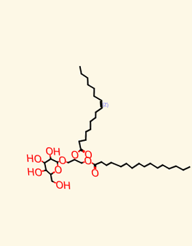 CCCCCC/C=C\CCCCCCCC(=O)OC(COC(=O)CCCCCCCCCCCCCCC)COC1OC(CO)C(O)C(O)C1O